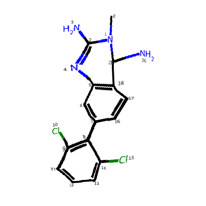 CN1C(N)=Nc2cc(-c3c(Cl)cccc3Cl)ccc2C1N